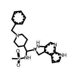 CS(=O)(=O)NC(C1CCN(Cc2ccccc2)CC1)N1Cc2c(cnc3[nH]ccc23)N1